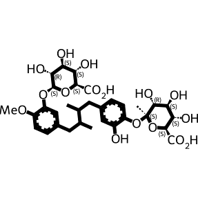 COc1ccc(CC(C)C(C)Cc2ccc(O[C@]3(C)O[C@H](C(=O)O)[C@@H](O)[C@H](O)[C@H]3O)c(O)c2)cc1O[C@@H]1O[C@H](C(=O)O)[C@@H](O)[C@H](O)[C@H]1O